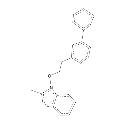 Cc1cc2ccccc2n1OCCc1cccc(-c2ccccc2)c1